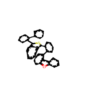 c1ccc(-c2ccccc2-c2sc(-c3ccccc3-c3cccc4oc5ccccc5c34)c3ccccc23)cc1